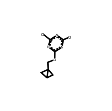 Clc1nc(Cl)nc(OCC23CC2C3)n1